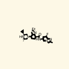 CCn1cc2c(N3C[C@@H](C4CC4)N[C@@H](C)C3)ccc(C(=O)Nc3cc(F)c4nc(C)cn4c3)c2n1